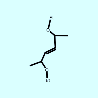 CCOC(C)/C=C/C(C)OCC